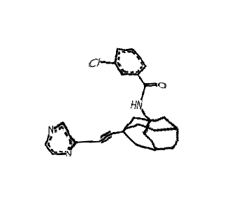 O=C(NC12CC3CC(CC(C#Cc4cnccn4)(C3)C1)C2)c1cccc(Cl)c1